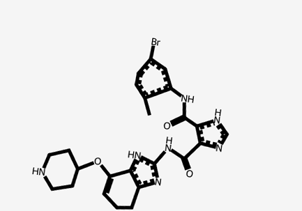 Cc1ccc(Br)cc1NC(=O)c1[nH]cnc1C(=O)Nc1nc2c([nH]1)C(OC1CCNCC1)=CCC2